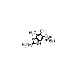 Cc1c(OS(=O)(=O)O)cc2[nH]c(=NN)sc2c1C